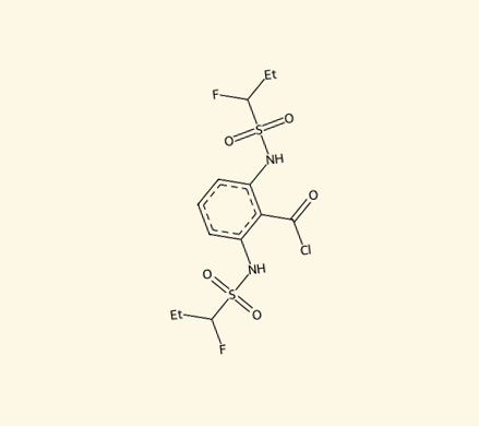 CCC(F)S(=O)(=O)Nc1cccc(NS(=O)(=O)C(F)CC)c1C(=O)Cl